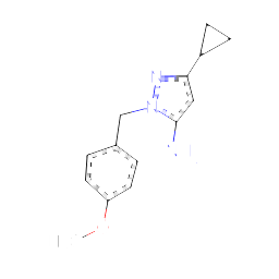 COc1ccc(Cn2nc(C3CC3)cc2N)cc1